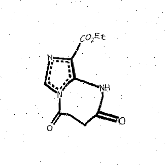 CCOC(=O)c1ncn2c1NC(=O)CC2=O